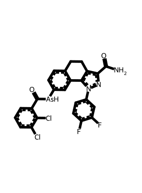 NC(=O)c1nn(-c2ccc(F)c(F)c2)c2c1CCc1ccc([AsH]C(=O)c3cccc(Cl)c3Cl)cc1-2